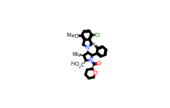 COc1ccc(Cl)c2c1CN([C@@H]1C(c3ccccc3C(C)C)N(C(=O)[C@@H]3CCCCO3)[C@H](C(=O)O)[C@H]1C(C)(C)C)C2